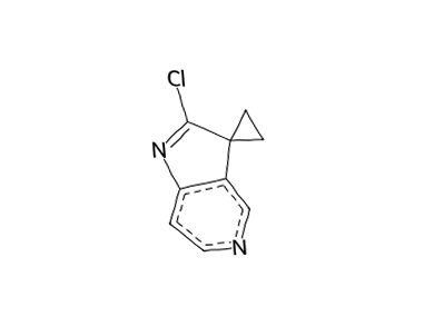 ClC1=Nc2ccncc2C12CC2